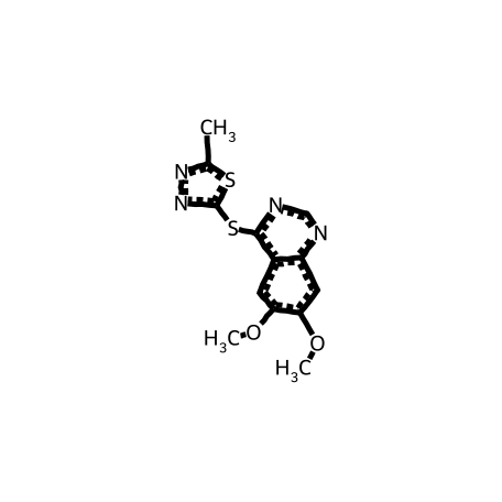 COc1cc2ncnc(Sc3nnc(C)s3)c2cc1OC